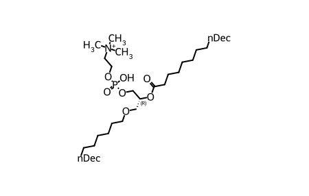 CCCCCCCCCCCCCCCCCC(=O)O[C@H](COCCCCCCCCCCCCCCCC)COP(=O)(O)OCC[N+](C)(C)C